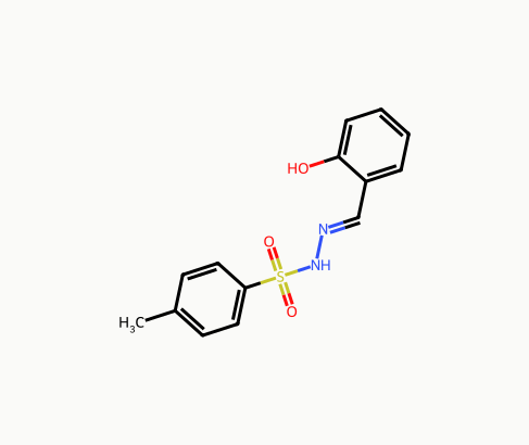 Cc1ccc(S(=O)(=O)N/N=C/c2ccccc2O)cc1